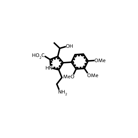 COc1ccc(-c2c(CCN)[nH]c(C(=O)O)c2C(C)O)c(OC)c1OC